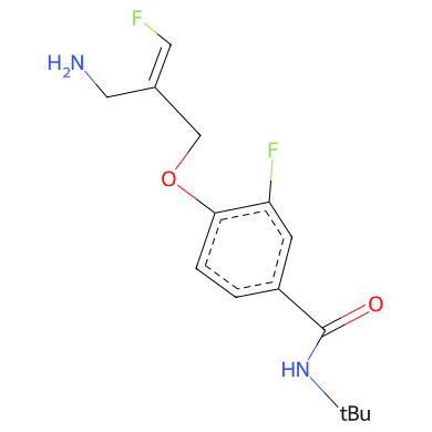 CC(C)(C)NC(=O)c1ccc(OCC(=CF)CN)c(F)c1